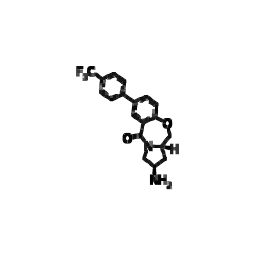 N[C@@H]1C[C@H]2COc3ccc(-c4ccc(C(F)(F)F)cc4)cc3C(=O)N2C1